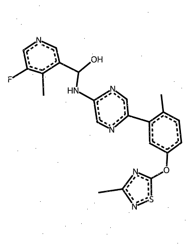 Cc1nsc(Oc2ccc(C)c(-c3cnc(NC(O)c4cncc(F)c4C)cn3)c2)n1